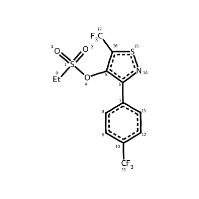 CCS(=O)(=O)Oc1c(-c2ccc(C(F)(F)F)cc2)nsc1C(F)(F)F